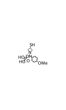 COc1ccc(CN2CC(S)C2)cc1.O=P(O)(O)O